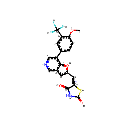 COc1ccc(-c2cncc3cc(/C=C4/SC(=O)NC4=O)oc23)cc1C(F)(F)F